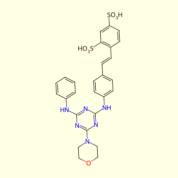 O=S(=O)(O)c1ccc(C=Cc2ccc(Nc3nc(Nc4ccccc4)nc(N4CCOCC4)n3)cc2)c(S(=O)(=O)O)c1